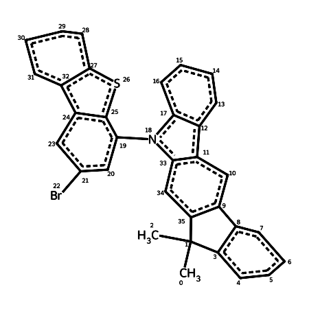 CC1(C)c2ccccc2-c2cc3c4ccccc4n(-c4cc(Br)cc5c4sc4ccccc45)c3cc21